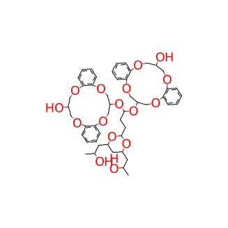 CC(O)CC1CC(CC(C)O)OC(CCC(OC2COc3ccccc3OCC(O)COc3ccccc3OC2)OC2COc3ccccc3OCC(O)COc3ccccc3OC2)O1